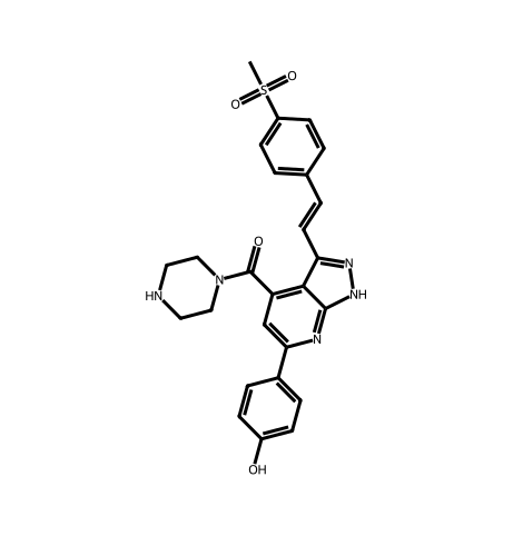 CS(=O)(=O)c1ccc(/C=C/c2n[nH]c3nc(-c4ccc(O)cc4)cc(C(=O)N4CCNCC4)c23)cc1